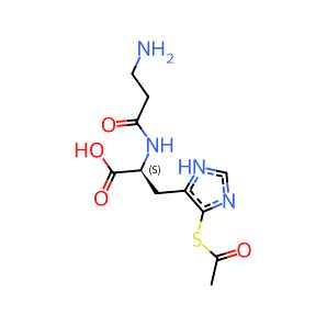 CC(=O)Sc1nc[nH]c1C[C@H](NC(=O)CCN)C(=O)O